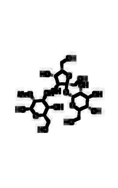 CO[C@@H]1[C@@H](O)[C@@H](O)[C@@H](CO)O[C@H]1O.OC[C@H]1O[C@@](CO)(O[C@H]2O[C@H](CO)[C@@H](O)[C@H](O)[C@H]2O)[C@@H](O)[C@@H]1O